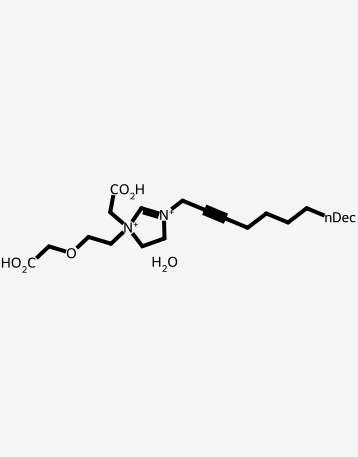 CCCCCCCCCCCCCCC#CC[N+]1=C[N+](CCOCC(=O)O)(CC(=O)O)CC1.O